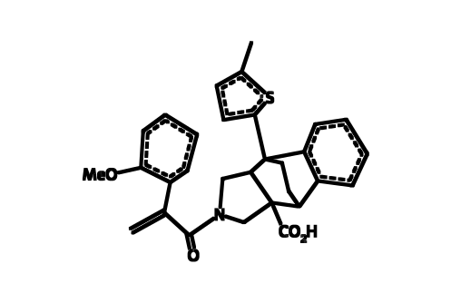 C=C(C(=O)N1CC2C3(c4ccc(C)s4)CCC(c4ccccc43)C2(C(=O)O)C1)c1ccccc1OC